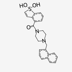 O=C(c1cccc2c1C=CS2(O)O)N1CCN(Cc2cccc3ccccc23)CC1